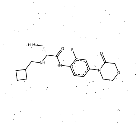 NC[C@@H](NCC1CCC1)C(=O)Nc1ccc(N2CCOCC2=O)cc1F